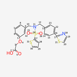 O=C(O)COc1cccc(CN(Cc2ccc(-c3nccs3)cc2)S(=O)(=O)c2cccs2)c1